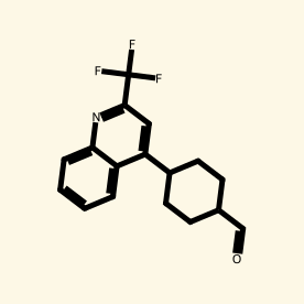 O=CC1CCC(c2cc(C(F)(F)F)nc3ccccc23)CC1